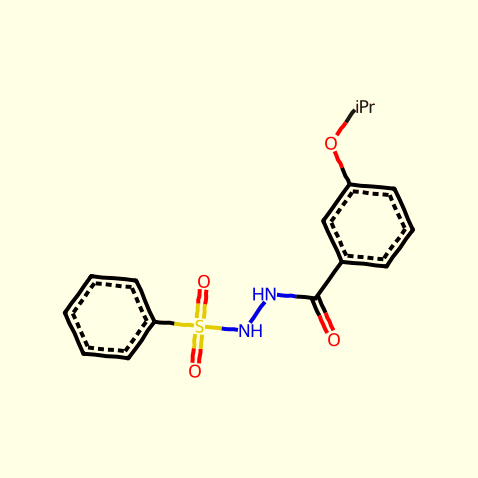 CC(C)Oc1cccc(C(=O)NNS(=O)(=O)c2ccccc2)c1